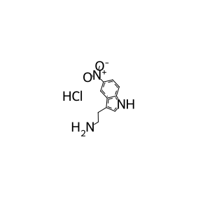 Cl.NCCc1c[nH]c2ccc([N+](=O)[O-])cc12